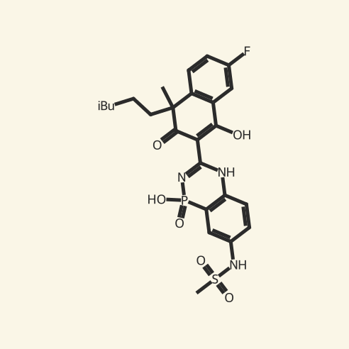 CCC(C)CCC1(C)C(=O)C(C2=NP(=O)(O)c3cc(NS(C)(=O)=O)ccc3N2)=C(O)c2cc(F)ccc21